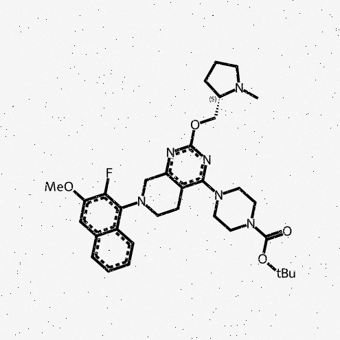 COc1cc2ccccc2c(N2CCc3c(nc(OC[C@@H]4CCCN4C)nc3N3CCN(C(=O)OC(C)(C)C)CC3)C2)c1F